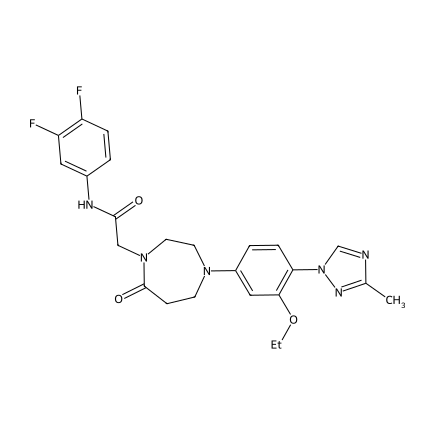 CCOc1cc(N2CCC(=O)N(CC(=O)Nc3ccc(F)c(F)c3)CC2)ccc1-n1cnc(C)n1